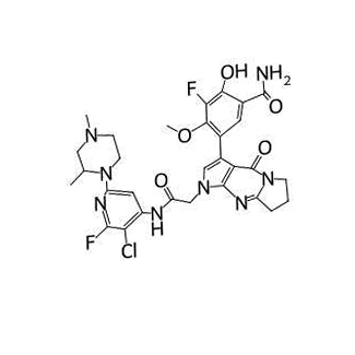 COc1c(-c2cn(CC(=O)Nc3cc(N4CCN(C)CC4C)nc(F)c3Cl)c3nc4n(c(=O)c23)CCC4)cc(C(N)=O)c(O)c1F